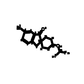 O=C1c2cc(Br)ccc2CC12CCC(OC(F)F)CC2